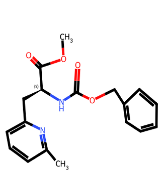 COC(=O)[C@H](Cc1cccc(C)n1)NC(=O)OCc1ccccc1